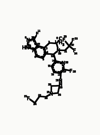 C[C@@H]1Cc2c(ccc3[nH]nc(F)c23)C(c2ccc(NC3CN(CCCF)C3)c(F)n2)N1CC(F)(F)F